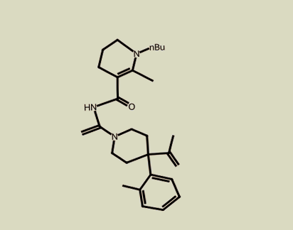 C=C(NC(=O)C1=C(C)N(CCCC)CCC1)N1CCC(C(=C)C)(c2ccccc2C)CC1